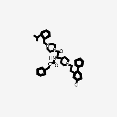 CC(C)c1ccccc1CN1CCN(C(=O)[C@H](NC(=O)OCc2ccccc2)C2CCN(CCc3cc(Cl)ccc3-c3ccccc3)CC2)CC1